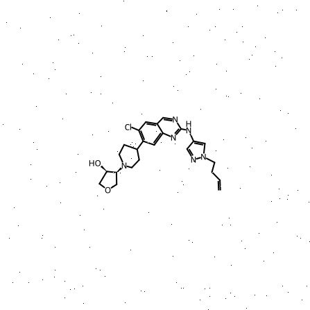 C=CCCn1cc(Nc2ncc3cc(Cl)c(C4CCN([C@H]5COC[C@H]5O)CC4)cc3n2)cn1